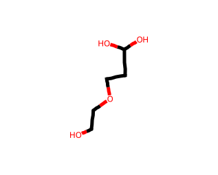 OCCOCC[C](O)O